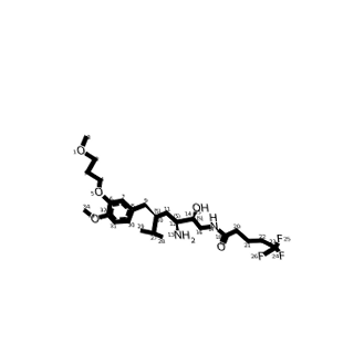 COCCCOc1cc(C[C@@H](C[C@H](N)[C@@H](O)CNC(=O)CCCC(F)(F)F)C(C)C)ccc1OC